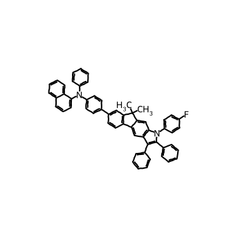 CC1(C)c2cc(-c3ccc(N(c4ccccc4)c4cccc5ccccc45)cc3)ccc2-c2cc3c(-c4ccccc4)c(-c4ccccc4)n(-c4ccc(F)cc4)c3cc21